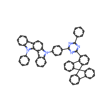 c1ccc(-c2nc(-c3ccc(-n4c5ccccc5c5c4ccc4c6ccccc6n(-c6ccccc6)c45)cc3)nc(-c3cccc4c3-c3ccccc3C43c4ccccc4-c4ccccc43)n2)cc1